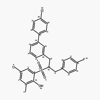 Cc1cc(Cl)cc(S(=O)(=O)N(Cc2ccc(F)cc2)Cc2cccc(-c3ccc(Cl)cc3)c2)c1O